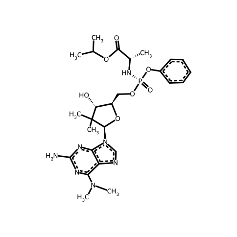 CC(C)OC(=O)[C@H](C)N[P@](=O)(OC[C@H]1O[C@@H](n2cnc3c(N(C)C)nc(N)nc32)C(C)(C)[C@@H]1O)Oc1ccccc1